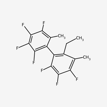 CCc1c(C)c(F)c(F)c(F)c1-c1c(C)c(F)c(F)c(F)c1F